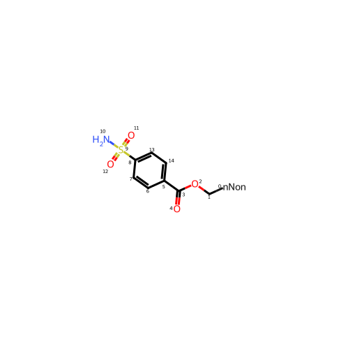 CCCCCCCCCCOC(=O)c1ccc(S(N)(=O)=O)cc1